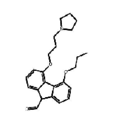 CCCOc1cccc2c1-c1c(OCCCN3CCCC3)cccc1C2C=O